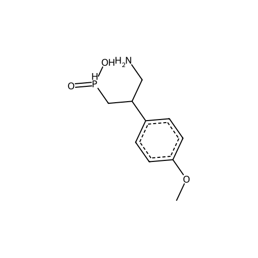 COc1ccc(C(CN)C[PH](=O)O)cc1